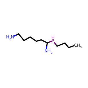 CCCCPC(N)CCCCCN